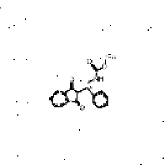 CC(C)(C)OC(=O)NC[C@H](c1ccccc1)C1C(=O)c2ccccc2C1=O